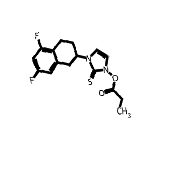 CCC(=O)On1ccn(C2CCc3c(F)cc(F)cc3C2)c1=S